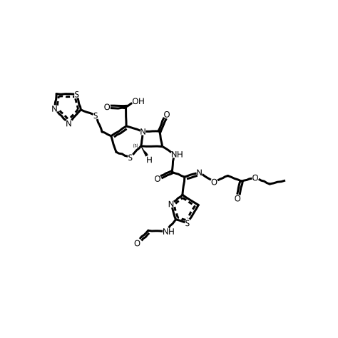 CCOC(=O)CON=C(C(=O)NC1C(=O)N2C(C(=O)O)=C(CSc3nncs3)CS[C@@H]12)c1csc(NC=O)n1